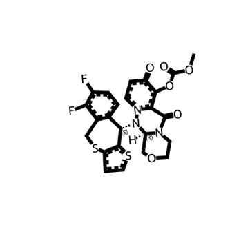 COC(=O)Oc1c2n(ccc1=O)N([C@H]1c3ccc(F)c(F)c3CSc3ccsc31)[C@@H]1COCCN1C2=O